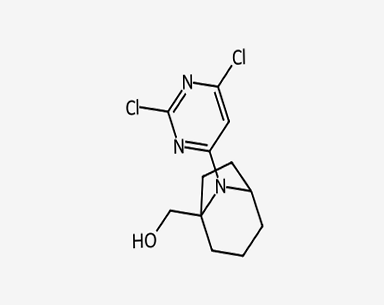 OCC12CCCC(CC1)N2c1cc(Cl)nc(Cl)n1